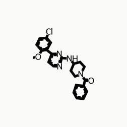 COc1ccc(Cl)cc1-c1ccnc(NC2CCN(C(=O)c3ccccc3)CC2)n1